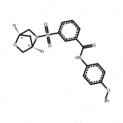 CC(C)Oc1ccc(NC(=O)c2cccc(S(=O)(=O)N3C[C@H]4C[C@@H]3CO4)c2)cc1